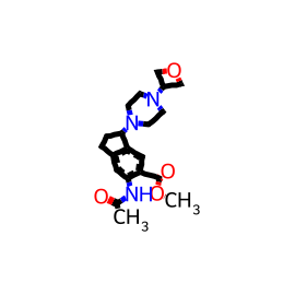 COC(=O)c1cc2c(cc1NC(C)=O)CCC2N1CCN(C2COC2)CC1